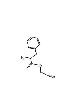 CCCCCCCCOC(=O)C(N)Cc1ccccc1